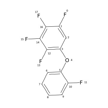 Fc1[c]c(Oc2ccccc2F)c(F)c(F)c1F